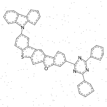 c1ccc(-c2nc(-c3ccccc3)nc(-c3ccc4c(c3)oc3cc5sc6ccc(-n7c8ccccc8c8ccccc87)cc6c5cc34)n2)cc1